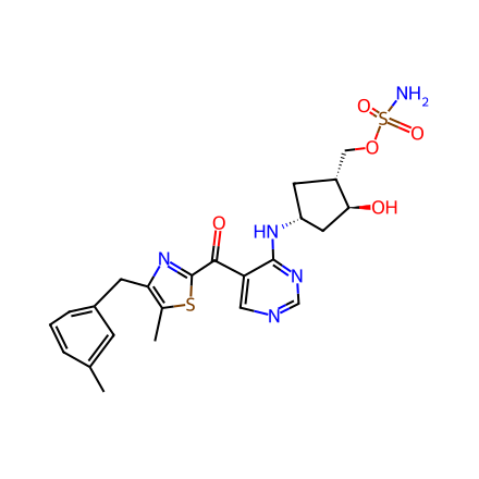 Cc1cccc(Cc2nc(C(=O)c3cncnc3N[C@@H]3C[C@H](COS(N)(=O)=O)[C@@H](O)C3)sc2C)c1